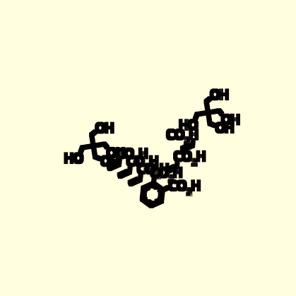 C=CC(=O)O.C=CC(=O)O.C=CC(=O)O.C=CC(=O)O.C=CC(=O)O.O=C(O)c1ccccc1C(=O)O.OCC(CO)(CO)CO.OCC(CO)(CO)CO